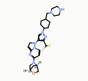 FC(F)c1nn(C2CCC(CN3CCNCC3)CC2)cc1N1CC=C2N=C(N3C[C@H]4C[C@@H]3CO4)C=CN21